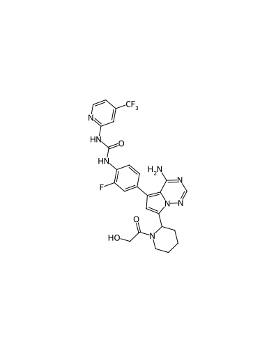 Nc1ncnn2c(C3CCCCN3C(=O)CO)cc(-c3ccc(NC(=O)Nc4cc(C(F)(F)F)ccn4)c(F)c3)c12